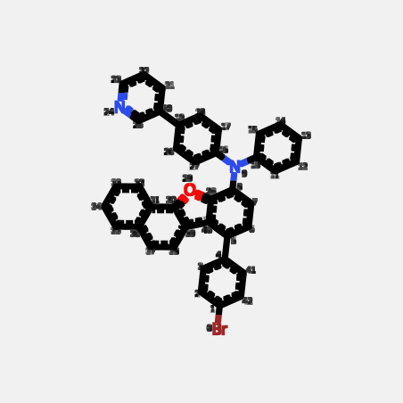 Brc1ccc(-c2ccc(N(c3ccccc3)c3ccc(-c4cccnc4)cc3)c3oc4c5ccccc5ccc4c23)cc1